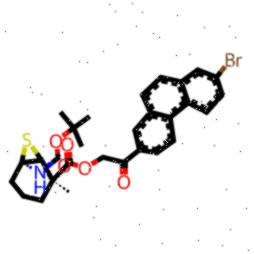 CC(C)(C)OC(=O)N[C@@]12CCC[C@](C)(C(=O)OCC(=O)c3ccc4c(ccc5cc(Br)ccc54)c3)C1S2